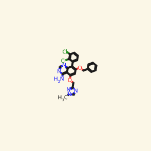 Cn1cnc(COc2cc(OCc3ccccc3)c(-c3cccc(Cl)c3Cl)c3ncnc(N)c23)n1